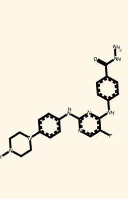 CCN1CCN(c2ccc(Nc3ncc(F)c(Nc4ccc(C(=O)NN)cc4)n3)cc2)CC1